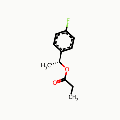 CCC(=O)O[C@H](C)c1ccc(F)cc1